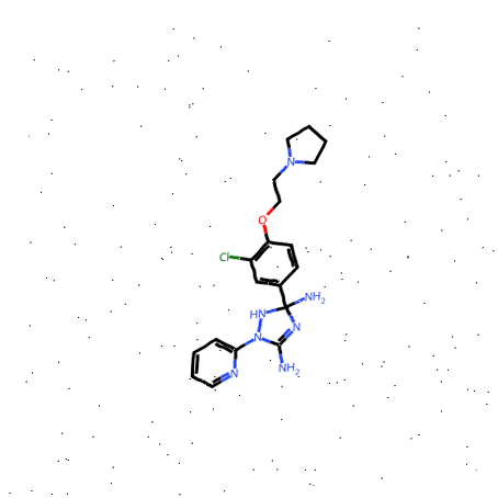 NC1=NC(N)(c2ccc(OCCN3CCCC3)c(Cl)c2)NN1c1ccccn1